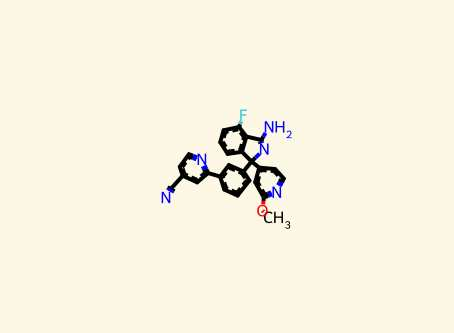 COc1cc(C2(c3cccc(-c4cc(C#N)ccn4)c3)N=C(N)c3c(F)cccc32)ccn1